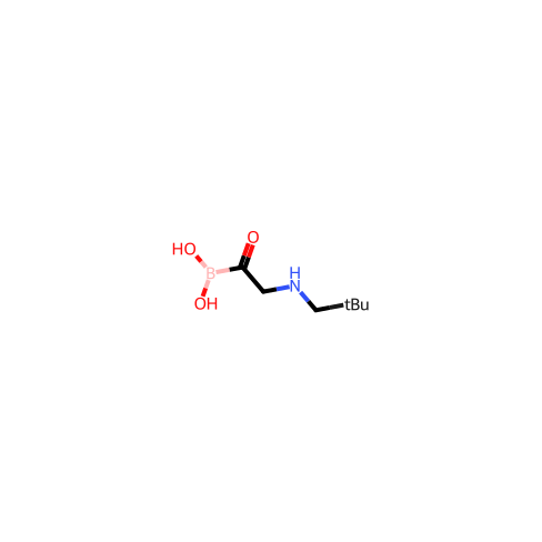 CC(C)(C)CNCC(=O)B(O)O